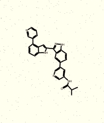 CC(C)C(=O)Nc1cncc(-c2ccc3[nH]nc(-c4cc5c(-c6cccnc6)cccc5[nH]4)c3c2)c1